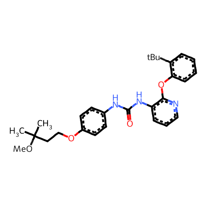 COC(C)(C)CCOc1ccc(NC(=O)Nc2cccnc2Oc2ccccc2C(C)(C)C)cc1